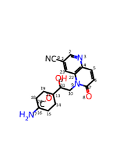 N#Cc1cnc2ccc(=O)n(CC(O)C34CCC(N)(CC3)CO4)c2c1